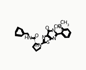 COc1ccccc1-c1nc2sc(N3CCC[C@@H]3C(=O)NCc3ccccc3)nc2c(=O)n1C